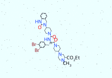 CCOC(=O)C1CN(C2CCN(C(=O)[C@H](Cc3ccc(Br)c(Br)c3)NC(=O)N3CCC(N4Cc5ccccc5NC4=O)CC3)CC2)CCN1C